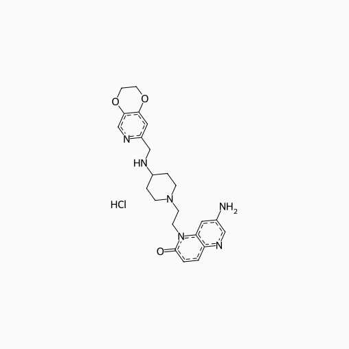 Cl.Nc1cnc2ccc(=O)n(CCN3CCC(NCc4cc5c(cn4)OCCO5)CC3)c2c1